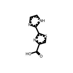 O=C(O)c1csc(-c2ncc[nH]2)n1